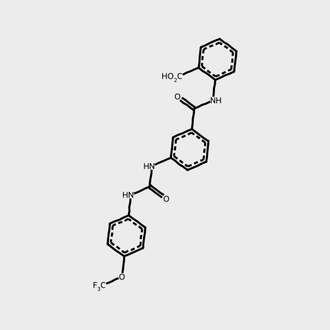 O=C(Nc1ccc(OC(F)(F)F)cc1)Nc1cccc(C(=O)Nc2ccccc2C(=O)O)c1